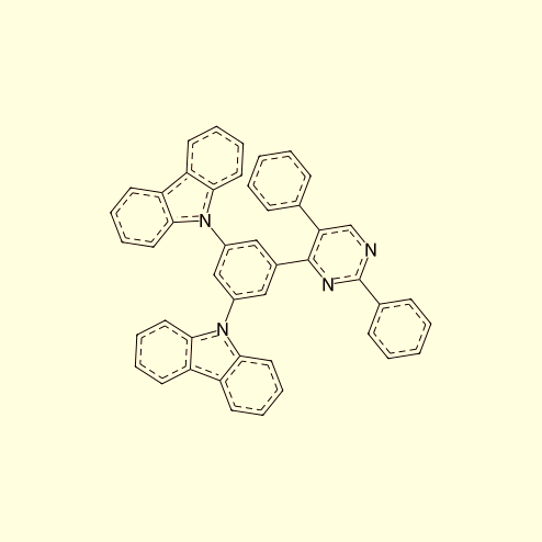 c1ccc(-c2ncc(-c3ccccc3)c(-c3cc(-n4c5ccccc5c5ccccc54)cc(-n4c5ccccc5c5ccccc54)c3)n2)cc1